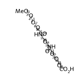 COCCOCCOCCOCCNC(=O)CCOCCNC(=O)COCCOCCOCC(=O)O